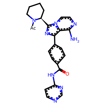 CC(=O)N1CCCC[C@H]1c1nc(-c2ccc(C(=O)Nc3ccncn3)cc2)c2c(N)nccn12